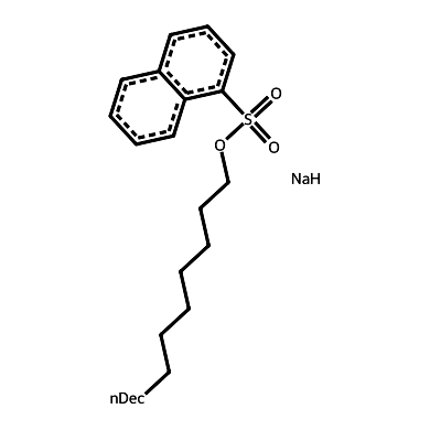 CCCCCCCCCCCCCCCCCOS(=O)(=O)c1cccc2ccccc12.[NaH]